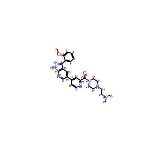 COc1ccccc1-c1n[nH]c2ncc(-c3ccnc(C(=O)N4CCN(CCN(C)C)CC4)c3)cc12